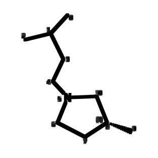 CC(C)CCN1CC[C@@H](C)C1